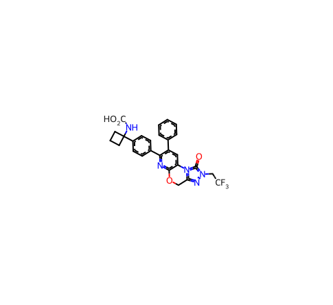 O=C(O)NC1(c2ccc(-c3nc4c(cc3-c3ccccc3)-n3c(nn(CC(F)(F)F)c3=O)CO4)cc2)CCC1